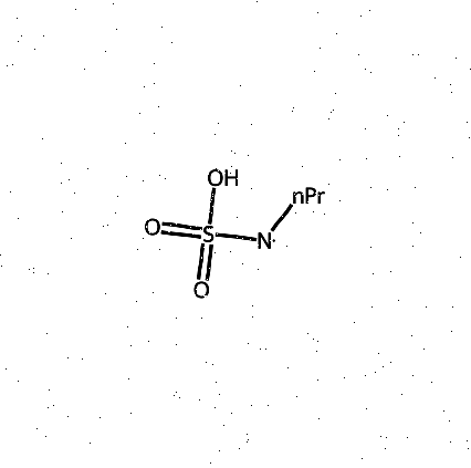 CCC[N]S(=O)(=O)O